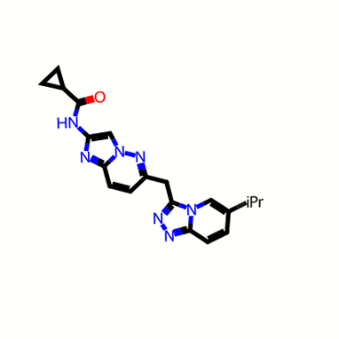 CC(C)c1ccc2nnc(Cc3ccc4nc(NC(=O)C5CC5)cn4n3)n2c1